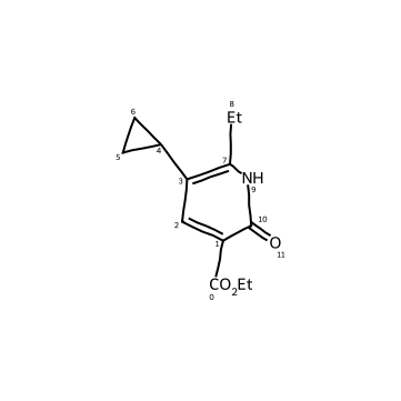 CCOC(=O)c1cc(C2CC2)c(CC)[nH]c1=O